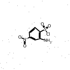 Nc1cc([N+](=O)[O-])ccc1S(=O)(=O)Cl